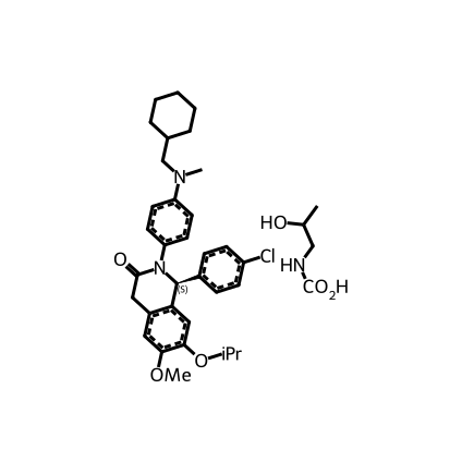 CC(O)CNC(=O)O.COc1cc2c(cc1OC(C)C)[C@H](c1ccc(Cl)cc1)N(c1ccc(N(C)CC3CCCCC3)cc1)C(=O)C2